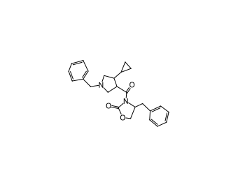 O=C1OCC(Cc2ccccc2)N1C(=O)C1CN(Cc2ccccc2)CC1C1CC1